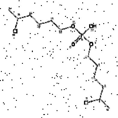 CC(Cl)CCCCOP(=O)(O)OCCCCC(C)Cl